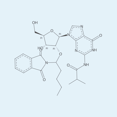 CCCCC(O[C@@H]1[C@H](O)[C@@H](CO)O[C@H]1n1cnc2c(=O)[nH]c(NC(=O)C(C)C)nc21)N1C(=O)c2ccccc2C1=O